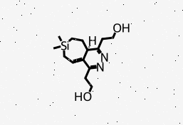 C[Si]1(C)CC=C2C(CCO)=NN=C(CCO)[C@@H]2CC1